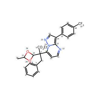 CCOC(=O)C(Cc1ccccc1)(c1ccnc2c(-c3ccc(C(F)(F)F)cc3)cnn12)C1OC(C)O1